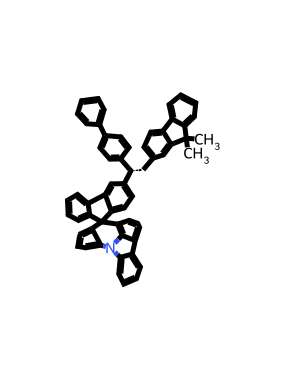 CC1(C)c2ccccc2-c2ccc(C[C@@H](c3ccc(-c4ccccc4)cc3)c3ccc4c(c3)-c3ccccc3C43c4ccccc4-n4c5ccccc5c5cccc3c54)cc21